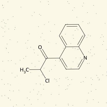 CC(Cl)C(=O)c1ccnc2ccccc12